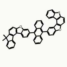 CC1(C)c2ccccc2-c2c1ccc1oc3cc(-c4c5ccccc5c(-c5ccc6oc7ccc8sc9ccccc9c8c7c6c5)c5ccccc45)ccc3c21